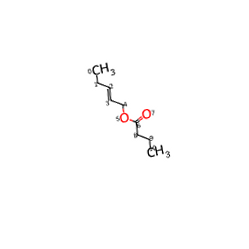 CC/C=C/COC(=O)CCC